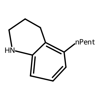 [CH2]CCCCc1cccc2c1CCCN2